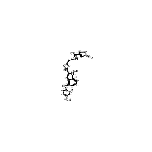 CCn1c(-c2noc(CNC(=O)c3ccn(C(C)(C)C)c3)n2)cc2c(N[C@@H]3CCN(C(C)(C)C)C[C@H]3F)cccc21